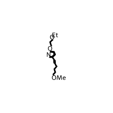 CCOCCCOc1ccc(C#CCCCCOC)cn1